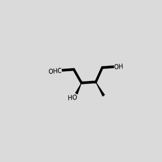 C[C@H](CO)[C@@H](O)CC=O